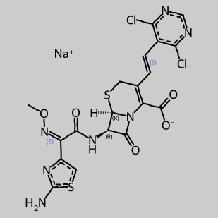 CO/N=C(\C(=O)N[C@@H]1C(=O)N2C(C(=O)[O-])=C(/C=C/c3c(Cl)ncnc3Cl)CS[C@H]12)c1csc(N)n1.[Na+]